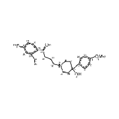 COc1ccc(C2(O)CCN(CCCC(=O)c3ccc(F)cc3F)CC2)cc1